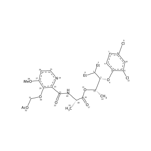 CCC(CC)[C@H](Oc1ccc(Cl)cc1Cl)[C@H](C)OC(=O)[C@H](C)NC(=O)c1nccc(OC)c1OCOC(C)=O